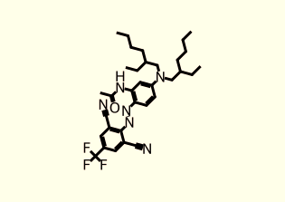 CCCCC(CC)CN(CC(CC)CCCC)c1ccc(N=Nc2c(C#N)cc(C(F)(F)F)cc2C#N)c(NC(C)=O)c1